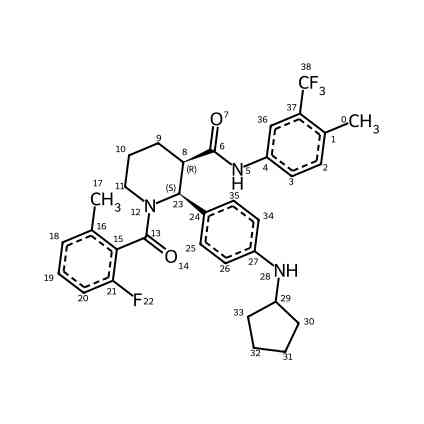 Cc1ccc(NC(=O)[C@@H]2CCCN(C(=O)c3c(C)cccc3F)[C@@H]2c2ccc(NC3CCCC3)cc2)cc1C(F)(F)F